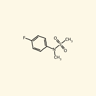 CN(c1ccc(F)cc1)S(C)(=O)=O